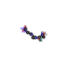 Cn1cc(-c2ccc(CN3CCc4c(CN5CCC(c6ccc(NC7CCC(=O)NC7=O)cc6)CC5)cccc4C3)c(OC(F)(F)F)c2)c2ccccc2c1=O